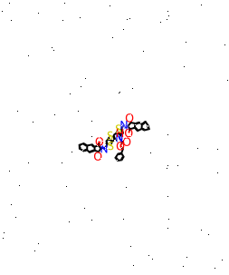 O=C1/C(=N/c2cc3c(s2)c2sc4cc(N=c5c(=O)c6cc7ccccc7cc6c5=O)sc4c2n3C(=O)OCc2ccccc2)C(O)c2cc3ccccc3cc21